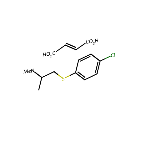 CNC(C)CSc1ccc(Cl)cc1.O=C(O)C=CC(=O)O